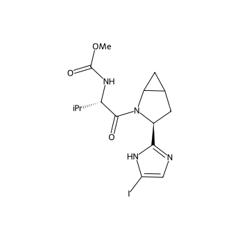 COC(=O)N[C@H](C(=O)N1C2CC2C[C@H]1c1ncc(I)[nH]1)C(C)C